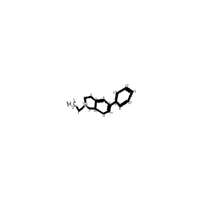 CCN1CCC2=CC(C3C=CC=CC3)=CCC2C1